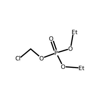 CCOP(=O)(OCC)OCCl